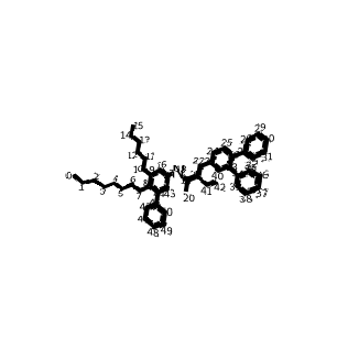 CCCCCCCCc1c(CCCCCC)cc(N=C(C)C(=Cc2ccc(-c3ccccc3)c(-c3ccccc3)c2)CC)cc1-c1ccccc1